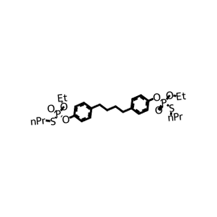 CCCSP(=O)(OCC)Oc1ccc(CCCCc2ccc(OP(=O)(OCC)SCCC)cc2)cc1